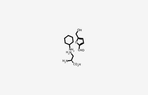 NC1CCCCC1.NC[C@H](N)C(=O)O.O=Cc1ccc(CO)o1